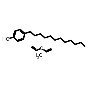 C=COC=C.CCCCCCCCCCCCc1ccc(O)cc1.O